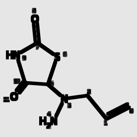 C=CCN(N)C1SC(=O)NC1=O